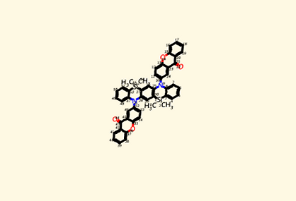 C[Si]1(C)c2ccccc2N(c2ccc3oc4ccccc4c(=O)c3c2)c2cc3c(cc21)N(c1ccc2oc4ccccc4c(=O)c2c1)c1ccccc1[Si]3(C)C